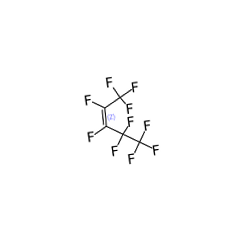 F/C(=C(\F)C(F)(F)C(F)(F)F)C(F)(F)F